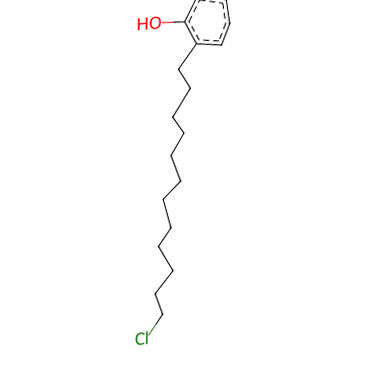 Oc1ccccc1CCCCCCCCCCCCCl